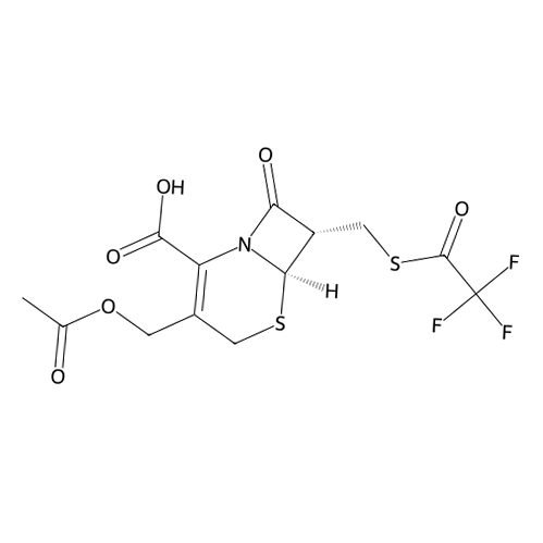 CC(=O)OCC1=C(C(=O)O)N2C(=O)[C@H](CSC(=O)C(F)(F)F)[C@H]2SC1